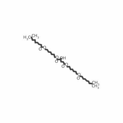 CC(C)CCCCCCC(=O)OCCCCCCCOC(=O)CCC(O)C(=O)OCCCCCCCOC(=O)CCCCCCC(C)C